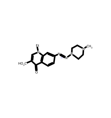 CCn1cc(C(=O)O)c(=O)c2ccc(/N=N/N3CCN(C)CC3)cc21